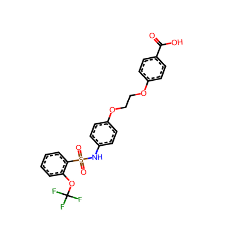 O=C(O)c1ccc(OCCOc2ccc(NS(=O)(=O)c3ccccc3OC(F)(F)F)cc2)cc1